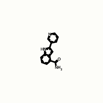 NC(=O)c1cccc2[nH]c(-c3cccnc3)cc12